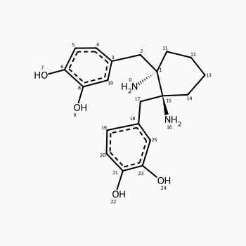 N[C@]1(Cc2ccc(O)c(O)c2)CCCC[C@]1(N)Cc1ccc(O)c(O)c1